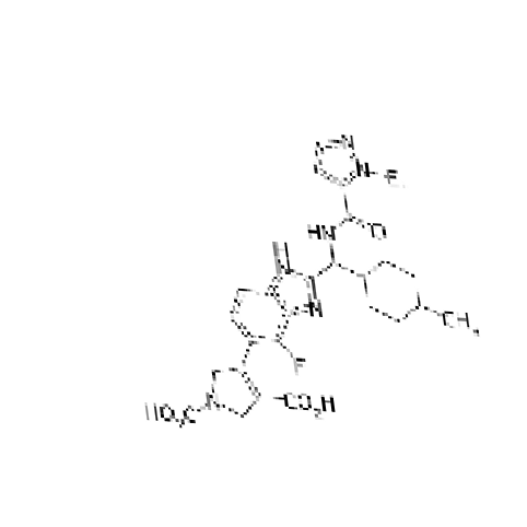 CCn1nccc1C(=O)NC(c1nc2c(F)c(C3=C(C(=O)O)CN(C(=O)O)C3)ccc2[nH]1)C1CCC(C)CC1